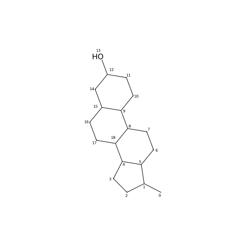 CC1CCC2C1CCC1C3CCC(O)CC3CCC21